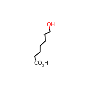 O=C(O)CCCC[CH]CO